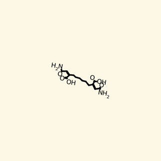 NC(=O)/C=C(/CCCCCC/C(=C/C(N)=O)C(=O)O)C(=O)O